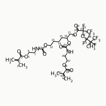 C=C(C)C(=O)OCCNC(=O)OCCCCC(COC(=O)C(F)(OC(F)(F)C(C)(F)C(F)(F)F)C(F)(F)F)OC(=O)NCCOC(=O)C(=C)C